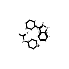 CC(=O)OC1CCNCC1.c1ccc2c(C3CCCCC3)noc2c1